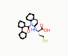 O=C(O)[C@H](CCS)NC1=CCc2ccccc2N1C(=O)c1ccccc1-c1ccccc1